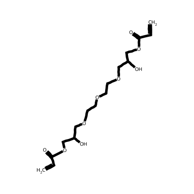 C=CC(=O)OCC(O)COCCOCCOCC(O)COC(=O)C=C